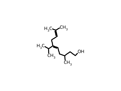 CC(C)=CCC(=CCC(C)CCO)C(C)C